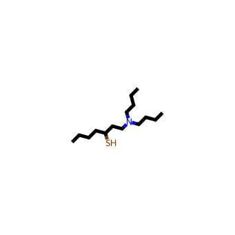 CCCCC(S)CCN(CCCC)CCCC